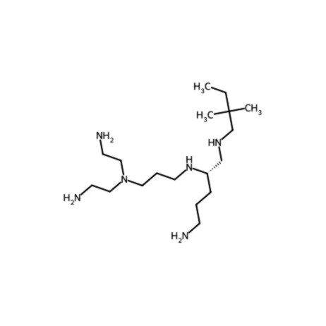 CCC(C)(C)CNC[C@H](CCCN)NCCCN(CCN)CCN